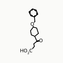 O=C(O)CCC(=O)C1CCC(OCc2ccccc2)CC1